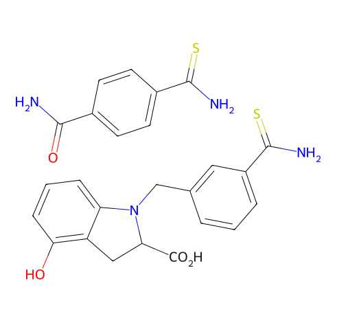 NC(=O)c1ccc(C(N)=S)cc1.NC(=S)c1cccc(CN2c3cccc(O)c3CC2C(=O)O)c1